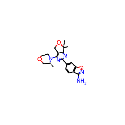 C[C@H]1COCCN1c1nc(-c2ccc3c(N)noc3c2)nc2c1COC2(C)C